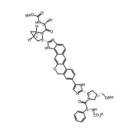 COC[C@H]1C[C@@H](c2ncc(-c3ccc4c(c3)COc3cc5c(ccc6nc([C@@H]7C[C@@H]8C[C@@H]8N7C(=O)[C@@H](NC(=O)OC)C(C)C)[nH]c65)cc3-4)[nH]2)N(C(=O)[C@H](NC(=O)O)c2ccccc2)C1